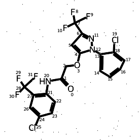 O=C(COc1cc(C(F)(F)F)nn1-c1ccccc1Cl)Nc1ccc(Cl)cc1C(F)(F)F